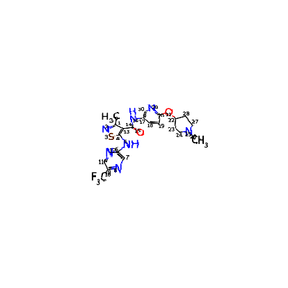 Cc1nsc(Nc2cnc(C(F)(F)F)cn2)c1C(=O)Nc1ccc(OC2CCN(C)CC2)nc1